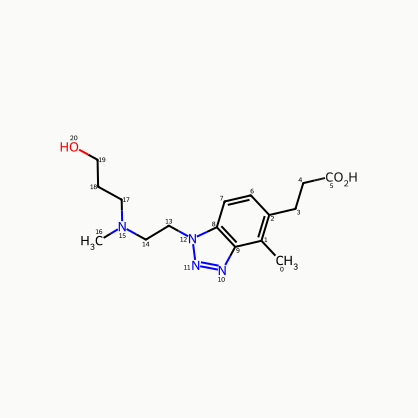 Cc1c(CCC(=O)O)ccc2c1nnn2CCN(C)CCCO